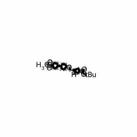 CC(C)(C)OC(=O)N1CC2[C@H](COc3ccc(-c4ccc(S(C)(=O)=O)cc4)cc3)[C@H]2C1